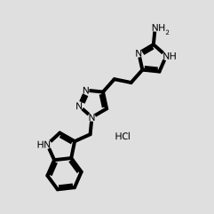 Cl.Nc1nc(CCc2cn(Cc3c[nH]c4ccccc34)nn2)c[nH]1